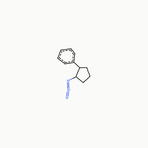 [N-]=[N+]=NC1CCCC1c1ccccc1